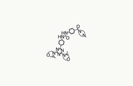 C[C@H]1COCCN1c1nc(-c2ccc(NC(=O)Nc3ccc(C(=O)N4CCN(C)CC4)cc3)cc2)nc(N2CCOC[C@@H]2C)n1